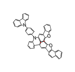 c1ccc(N(c2ccc(-n3c4ccccc4c4ccccc43)cc2)c2ccc3oc4ccccc4c3c2)c(-c2ccc3oc4c5ccccc5ccc4c3c2)c1